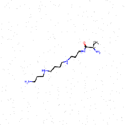 C[C@@H](N)C(=O)/N=C/CCNCCCCNCCCN